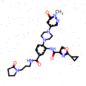 Cn1ncc(N2CCN(c3ccc(C(=O)NCCCN4CCCC4=O)cc3NC(=O)c3coc(C4CC4)n3)CC2)cc1=O